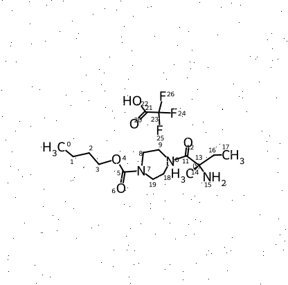 CCCCOC(=O)N1CCN(C(=O)[C@@](C)(N)CC)CC1.O=C(O)C(F)(F)F